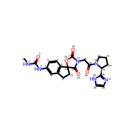 CNC(=O)Nc1ccc2c(c1)CCC21OC(=O)N(CC(=O)N2CCC[C@H]2c2ncc[nH]2)C1=O